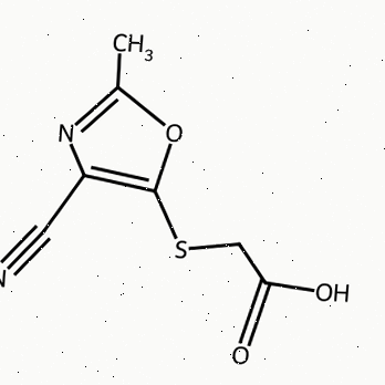 Cc1nc(C#N)c(SCC(=O)O)o1